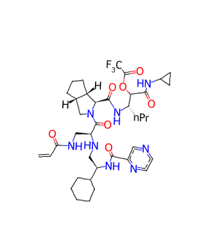 C=CC(=O)NC[C@H](NC[C@@H](NC(=O)c1cnccn1)C1CCCCC1)C(=O)N1C[C@@H]2CCC[C@@H]2[C@H]1C(=O)N[C@@H](CCC)C(OC(=O)C(F)(F)F)C(=O)NC1CC1